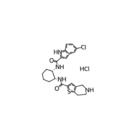 Cl.O=C(N[C@H]1CCCC[C@H]1NC(=O)c1cc2c(s1)CCNC2)c1cc2cc(Cl)ccc2[nH]1